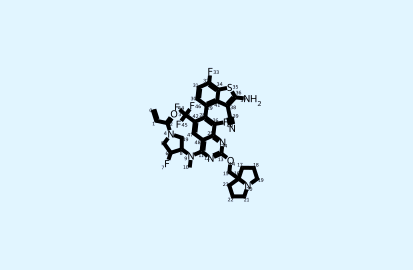 C=CC(=O)N1CC(F)C(N(C)c2nc(OCC34CCCN3CCC4)nc3c(F)c(-c4ccc(F)c5sc(N)c(C#N)c45)c(C(F)(F)F)cc23)C1